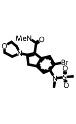 CNC(=O)C1=C(N2CCOCC2)Cc2cc(N(C)S(C)(=O)=O)c(Br)cc21